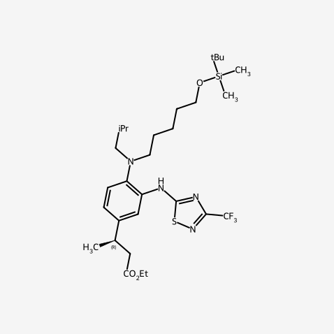 CCOC(=O)C[C@@H](C)c1ccc(N(CCCCCO[Si](C)(C)C(C)(C)C)CC(C)C)c(Nc2nc(C(F)(F)F)ns2)c1